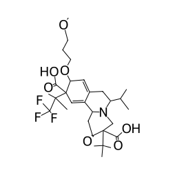 COCCCOC1C=C2CC(C(C)C)N3CC(C(=O)O)(C(C)(C)C)C(=O)CC3C2=CC1(C(=O)O)C(C)(C)C(F)(F)F